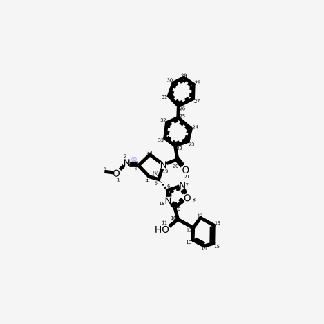 CO/N=C1\C[C@@H](c2noc(C(O)C3C=CC=CC3)n2)N(C(=O)c2ccc(-c3ccccc3)cc2)C1